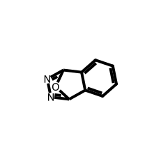 c1ccc2c3nnc(o3)c2c1